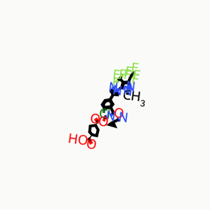 Cn1nc(C(F)(F)C(F)(F)F)c(C(F)(F)F)c1-n1cc(-c2ccc(Cl)c(C(=O)N(COC(=O)[C@H]3CC[C@H](C(=O)O)CC3)C3(C#N)CC3)c2)cn1